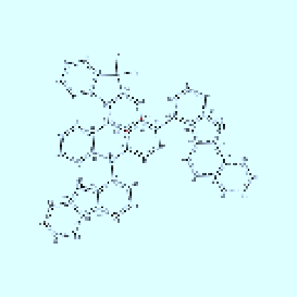 CC1(C)c2ccccc2-c2c(-c3ccccc3N(c3ccc(-c4cccc5oc6c7ccccc7ccc6c45)cc3)c3cccc4c3oc3ccccc34)cccc21